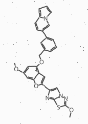 COc1cc(OCc2cccc(-c3ccc4cccn4c3)c2)c2cc(-c3cn4nc(OC)sc4n3)oc2c1